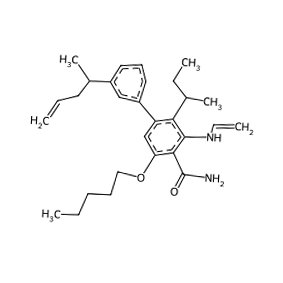 C=CCC(C)c1cccc(-c2cc(OCCCCC)c(C(N)=O)c(NC=C)c2C(C)CC)c1